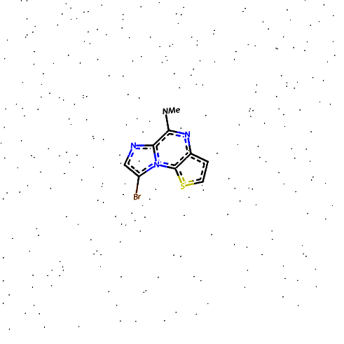 CNc1nc2ccsc2n2c(Br)cnc12